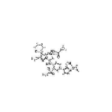 Cc1c(-c2ccc(Nc3cc(NC(=O)C4CC4)nc4c3nc(C)n4C3CCCCO3)c(S(C)(=O)=O)c2)cnn1C1CC1